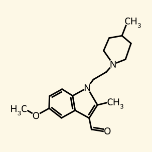 COc1ccc2c(c1)c(C=O)c(C)n2CCN1CCC(C)CC1